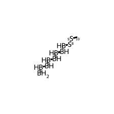 BBBBBBBBSSC